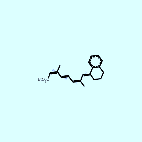 CCOC(=O)\C=C(C)/C=C/C=C(C)\C=C1/CCCc2ccccc21